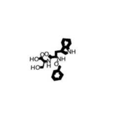 O=C(N[C@@H](CO)C(=O)O)C(Cc1c[nH]c2ccccc12)NOCc1ccccc1